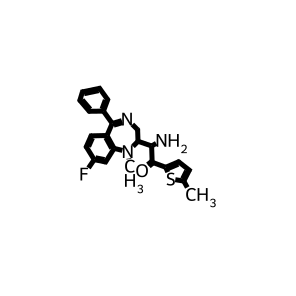 Cc1ccc(C(=O)C(N)C2CN=C(c3ccccc3)c3ccc(F)cc3N2C)s1